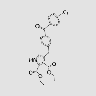 CCOC(=O)c1[nH]cc(Cc2ccc(C(=O)c3ccc(Cl)cc3)cc2)c1C(=O)OCC